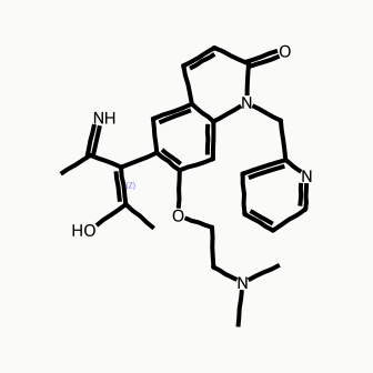 CC(=N)/C(=C(/C)O)c1cc2ccc(=O)n(Cc3ccccn3)c2cc1OCCN(C)C